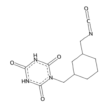 O=C=NCC1CCCC(Cn2c(=O)[nH]c(=O)[nH]c2=O)C1